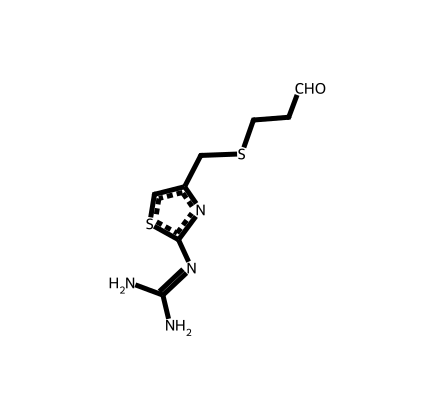 NC(N)=Nc1nc(CSCCC=O)cs1